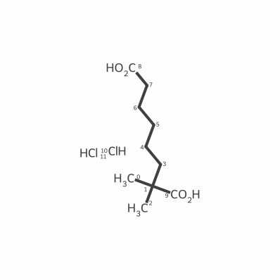 CC(C)(CCCCCC(=O)O)C(=O)O.Cl.Cl